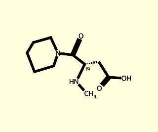 CN[C@@H](CC(=O)O)C(=O)N1CCCCC1